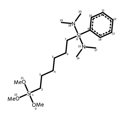 CO[Si](CCCCCC[Si](c1ccccc1)(N(C)C)N(C)C)(OC)OC